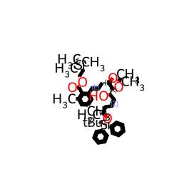 Cc1cc(C)c(C(=O)OCC[Si](C)(C)C)c(/C=C/C[C@@H]2OC(C)(C)O[C@@H]2C(O)/C=C\C[C@H](C)O[Si](c2ccccc2)(c2ccccc2)C(C)(C)C)c1